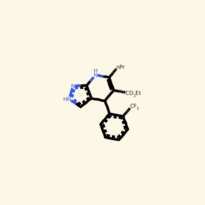 CCCC1=C(C(=O)OCC)C(c2ccccc2C(F)(F)F)c2c[nH]nc2N1